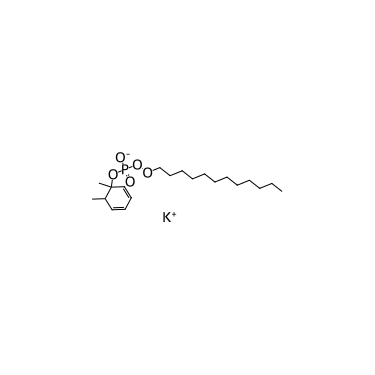 CCCCCCCCCCCCOOP(=O)([O-])OC1(C)C=CC=CC1C.[K+]